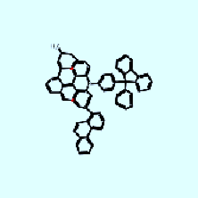 CC1C=C(c2cccc3c2=C(c2ccccc2N(c2ccc(C4(c5ccccc5)c5ccccc5-c5ccccc54)cc2)c2cccc(-c4cccc5c4ccc4ccccc45)c2)CCC=3)C=CC1